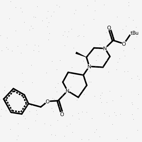 C[C@H]1CN(C(=O)OC(C)(C)C)CCN1C1CCN(C(=O)OCc2ccccc2)CC1